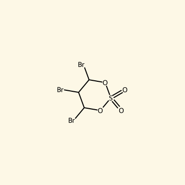 O=S1(=O)OC(Br)C(Br)C(Br)O1